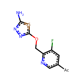 CC(=O)c1cnc(COc2nnc(N)s2)c(F)c1